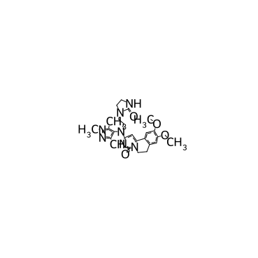 COc1cc2c(cc1OC)-c1cc(N(CCN3CCNC3=O)c3c(C)nn(C)c3C)nc(=O)n1CC2